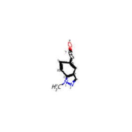 Cn1ncc2cc(B=O)ccc21